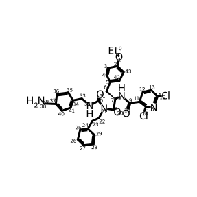 CCOc1ccc(C[C@@H](NC(=O)c2ccc(Cl)nc2Cl)C(=O)N(CCc2ccccc2)C(=O)NCc2ccc(CN)cc2)cc1